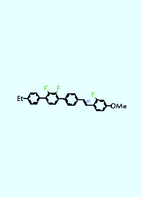 CCc1ccc(-c2ccc(-c3ccc(/C=C/c4ccc(OC)cc4F)cc3)c(F)c2F)cc1